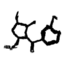 C[C@@H]1[C@H](I)C[C@H](C(=O)O)N1C(=O)c1ccnc(C(C)(C)C)c1